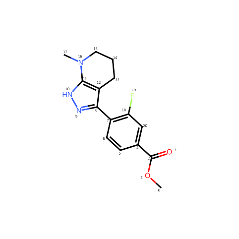 COC(=O)c1ccc(-c2n[nH]c3c2CCCN3C)c(F)c1